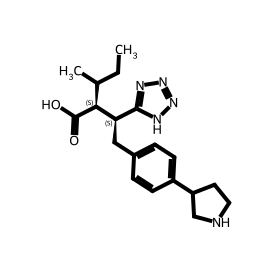 CCC(C)[C@H](C(=O)O)[C@H](Cc1ccc(C2CCNC2)cc1)c1nnn[nH]1